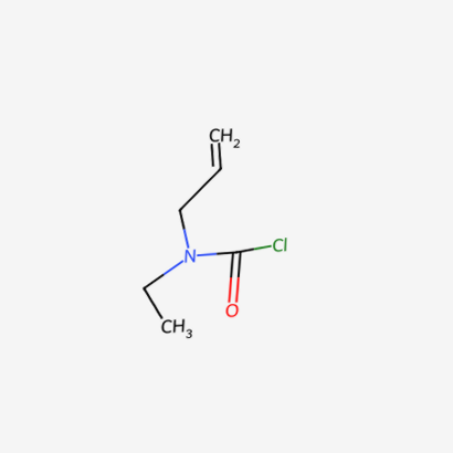 C=CCN(CC)C(=O)Cl